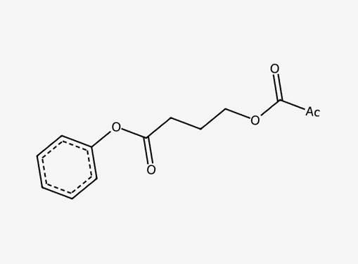 CC(=O)C(=O)OCCCC(=O)Oc1ccccc1